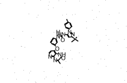 Cc1ccc(-n2nc(C(C)(C)C)cc2NC(=O)Nc2cccc(Oc3ccnc4nc(C)c(=O)[nH]c34)c2)cc1